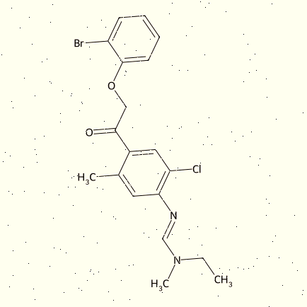 CCN(C)C=Nc1cc(C)c(C(=O)COc2ccccc2Br)cc1Cl